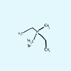 CC[P+](C)(C)CC.[Br-]